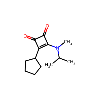 CC(C)N(C)c1c(C2CCCC2)c(=O)c1=O